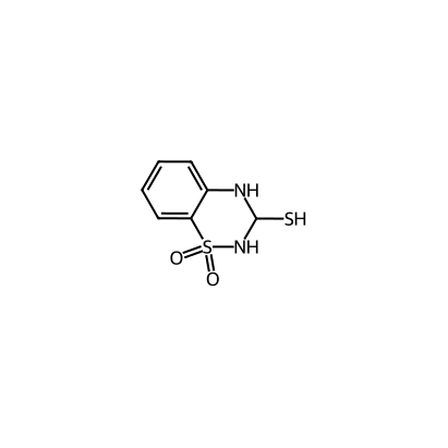 O=S1(=O)NC(S)Nc2ccccc21